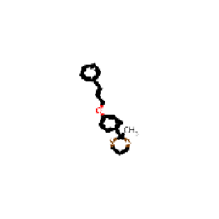 CC1(c2ccc(OCC=Cc3ccccc3)cc2)SCCCS1